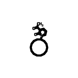 CC(=O)c1cccn(C2CCCCCCCCCCCCC2)c1=O